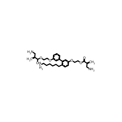 C=C(CN)C(=O)OCCOc1ccc(CCCCCCC)c(-c2cccc(OCCOC(O)C(=C)CN)c2)c1